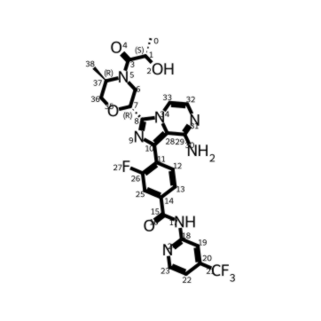 C[C@H](O)C(=O)N1C[C@H](c2nc(-c3ccc(C(=O)Nc4cc(C(F)(F)F)ccn4)cc3F)c3c(N)nccn23)OC[C@H]1C